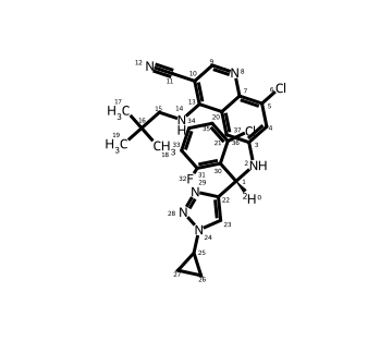 [2H][C@@](Nc1cc(Cl)c2ncc(C#N)c(NCC(C)(C)C)c2c1)(c1cn(C2CC2)nn1)c1c(F)cccc1Cl